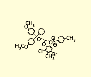 COc1ccc(C(OC[C@H](COS(=O)(=O)c2ccc(C)cc2)Oc2ccc(Br)c(C)c2Cl)(c2ccccc2)c2ccc(OC)cc2)cc1